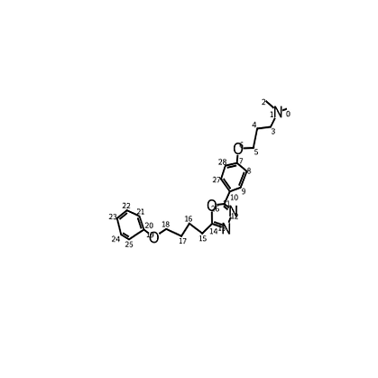 CN(C)CCCOc1ccc(-c2nnc(CCCCOc3ccccc3)o2)cc1